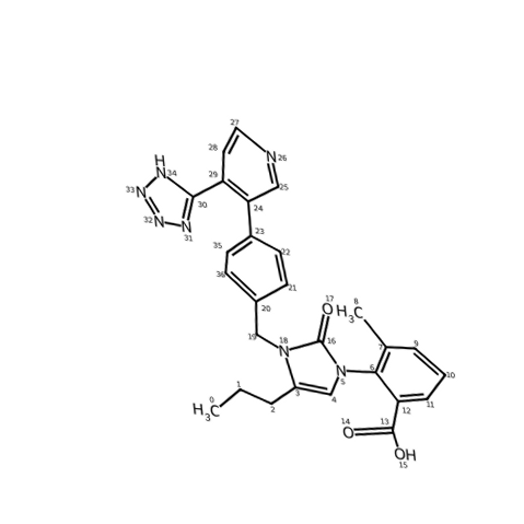 CCCc1cn(-c2c(C)cccc2C(=O)O)c(=O)n1Cc1ccc(-c2cnccc2-c2nnn[nH]2)cc1